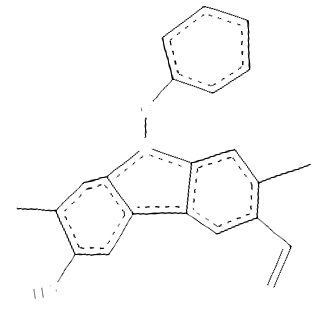 C=Cc1cc2c3cc(O)c(C)cc3p(Oc3ccccc3)c2cc1C